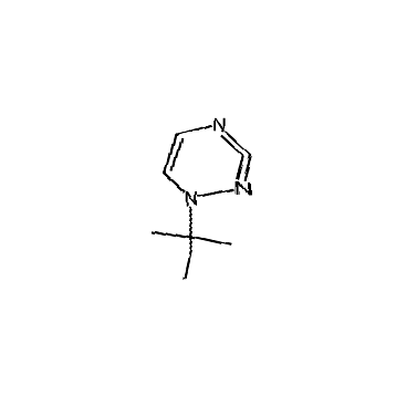 CC(C)(C)N1C=CN=C=N1